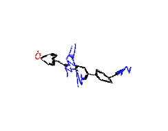 COc1ccc(-c2nc3ncc(-c4ccc(C#N)cc4)cc3[nH]2)cc1